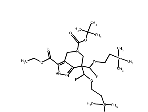 CCOC(=O)c1[nH]nc2c1CN(C(=O)OC(C)(C)C)CC2(C(F)OCC[Si](C)(C)C)C(F)OCC[Si](C)(C)C